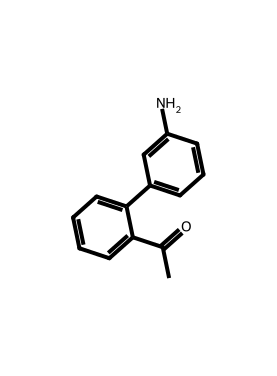 CC(=O)c1ccccc1-c1cccc(N)c1